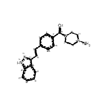 NN1CCN(C(=O)c2ccc(/C=C/c3n[nH]c4ccccc34)cc2)CC1